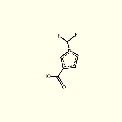 O=C(O)c1ccn(C(F)F)c1